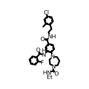 CCNC(=O)N1CCCN(c2ccc(C(=O)NCCc3ccc(Cl)cc3C)cc2NC(=O)c2ccccc2F)CC1